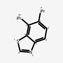 CC(C)c1ccc2ncsc2c1C(C)C